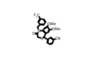 COc1cc2c(cc1OC)N(Cc1cccc(C(F)(F)F)c1)C(=O)CN=C2c1cccc(C#N)c1